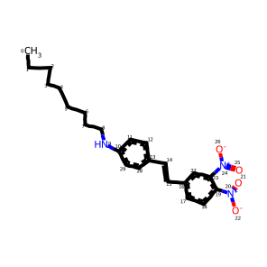 CCCCCCCCCNc1ccc(C=Cc2ccc([N+](=O)[O-])c([N+](=O)[O-])c2)cc1